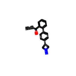 COC(=O)c1ccccc1-c1ccc(C2CNC2)cc1